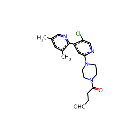 Cc1cnc(-c2cc(N3CCN(C(=O)CCC=O)CC3)ncc2Cl)c(C)c1